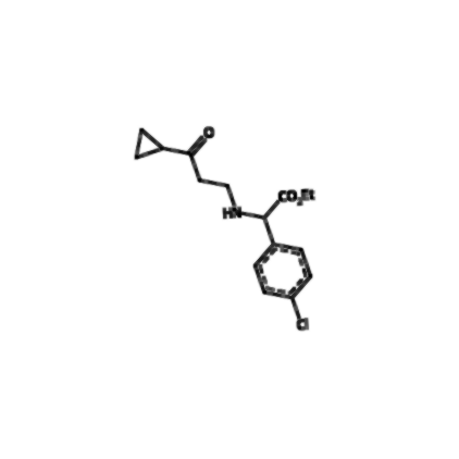 CCOC(=O)C(NCCC(=O)C1CC1)c1ccc(Cl)cc1